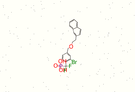 O=P(O)(O)C(F)(F)c1ccc(COCCc2ccc3ccccc3c2)cc1Br